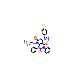 CCCn1c(=O)cc(Nc2ccc(Cl)cc2)c2c(=O)n(-c3ccccc3)c(=O)n(-c3ccccc3)c21